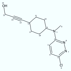 CN(c1ccc(Cl)nn1)C1CCC(C#CCO)CC1